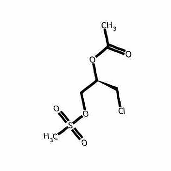 CC(=O)O[C@@H](CCl)COS(C)(=O)=O